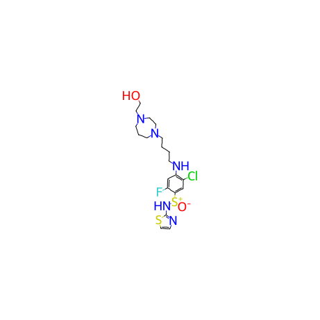 [O-][S+](Nc1nccs1)c1cc(Cl)c(NCCCCN2CCCN(CCO)CC2)cc1F